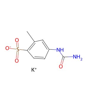 Cc1cc(NC(N)=O)ccc1S(=O)(=O)[O-].[K+]